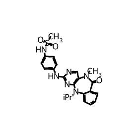 CC(C)N1c2ccccc2C(=O)N(C)c2cnc(Nc3ccc(NS(C)(=O)=O)cc3)nc21